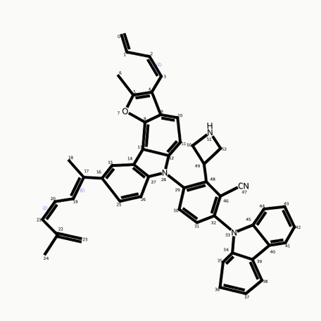 C=C/C=C\c1c(C)oc2c1ccc1c2c2cc(/C(C)=C/C=C\C(=C)C)ccc2n1-c1ccc(-n2c3ccccc3c3ccccc32)c(C#N)c1C1CNC1